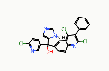 Cn1cncc1C(O)(c1ccc(Cl)nc1)c1ccc2nc(Cl)c(-c3ccccc3)c(Cl)c2c1